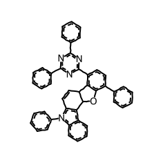 C1=CC2c3c(-c4nc(-c5ccccc5)nc(-c5ccccc5)n4)ccc(-c4ccccc4)c3OC2c2c1n(-c1ccccc1)c1ccccc21